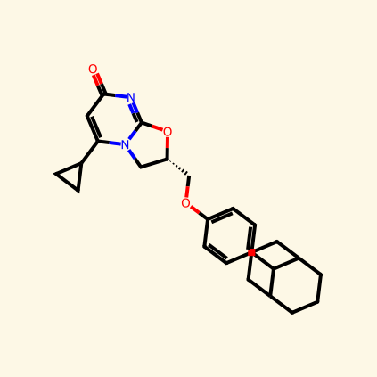 O=c1cc(C2CC2)n2c(n1)O[C@H](COc1ccc(C3C4CCCC3CCC4)cc1)C2